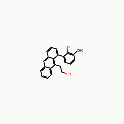 O=Cc1cccc(-c2cccc3cc4ccccc4c(CCO)c23)c1O